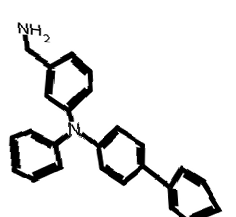 NCc1cccc(N(c2ccccc2)c2ccc(-c3ccccc3)cc2)c1